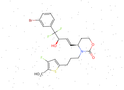 O=C(O)c1sc(CCCN2C(=O)OCC[C@@H]2C=C[C@@H](O)C(F)(F)c2cccc(Br)c2)cc1F